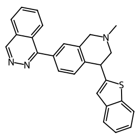 CN1Cc2cc(-c3nncc4ccccc34)ccc2C(c2cc3ccccc3s2)C1